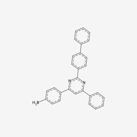 Bc1ccc(-c2cc(-c3ccccc3)nc(-c3ccc(-c4ccccc4)cc3)n2)cc1